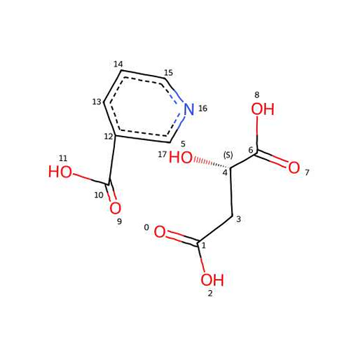 O=C(O)C[C@H](O)C(=O)O.O=C(O)c1cccnc1